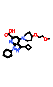 COCCOC1CCN(c2cc(C(=O)O)nc3c2c(C2CCC2)nn3-c2ccccc2)CC1